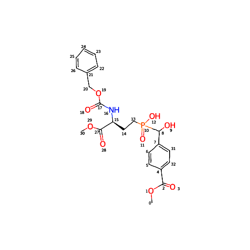 COC(=O)c1ccc(C(O)P(=O)(O)CC[C@H](NC(=O)OCc2ccccc2)C(=O)OC)cc1